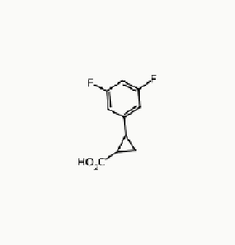 O=C(O)C1CC1c1cc(F)cc(F)c1